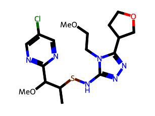 COCCn1c(NSC(C)C(OC)c2ncc(Cl)cn2)nnc1C1CCOC1